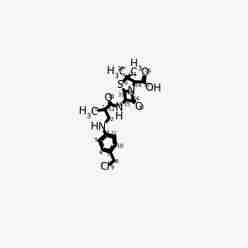 CC(CNc1ccc(CCl)cc1)C(=O)NC1C(=O)N2C1SC(C)(C)C2C(=O)O